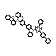 c1ccc(-c2ccc(-c3nc(-c4ccccc4)nc(-n4c5ccccc5c5cc(-c6ccc7c(c6)Sc6ccccc6N7c6cccc7c6oc6ccccc67)ccc54)n3)cc2)cc1